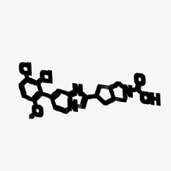 COc1ccc(Cl)c(Cl)c1-c1ccn2cc(C3CC4CN(C(=O)O)CC4C3)nc2c1